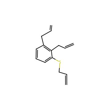 C=CCSc1cccc(CC=C)c1CC=C